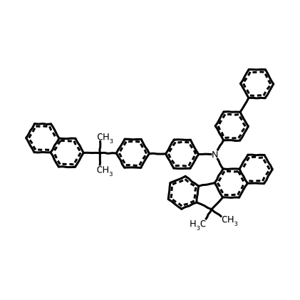 CC(C)(c1ccc(-c2ccc(N(c3ccc(-c4ccccc4)cc3)c3c4c(cc5ccccc35)C(C)(C)c3ccccc3-4)cc2)cc1)c1ccc2ccccc2c1